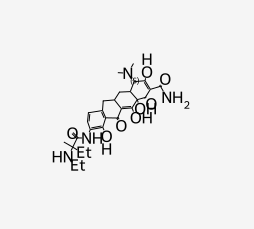 CCNC(C)(CC)C(=O)Nc1ccc2c(c1O)C(=O)C1=C(O)C3(O)C(=O)C(C(N)=O)=C(O)[C@@H](N(C)C)C3CC1C2